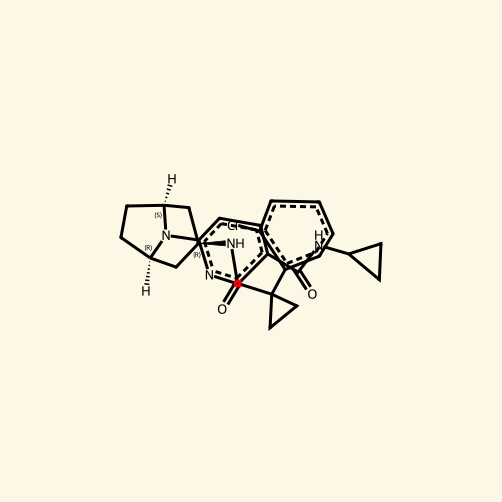 O=C(NC1CC1)c1ccc(N2[C@@H]3CC[C@H]2C[C@@H](NC(=O)C2(c4ccccc4Cl)CC2)C3)nc1